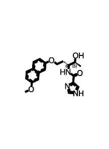 COc1ccc2ccc(OCC[C@@H](NC(=O)c3c[nH]cn3)[C@H](C)O)cc2c1